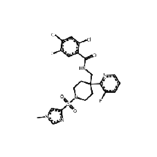 Cn1cnc(S(=O)(=O)N2CCC(CNC(=O)c3cc(F)c(Cl)cc3Cl)(c3ncccc3F)CC2)c1